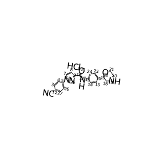 Cl.N#Cc1ccc(-n2ccc(C(=O)Nc3ccc([C@H]4CNCCO4)cc3)n2)cc1